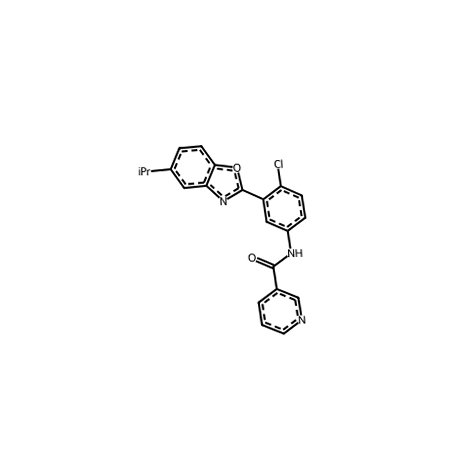 CC(C)c1ccc2oc(-c3cc(NC(=O)c4cccnc4)ccc3Cl)nc2c1